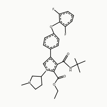 CCOC(=O)c1c(C(=O)NC(C)(C)C)c(-c2ccc(Oc3c(F)cccc3F)cc2)cn1C1CCN(C)C1